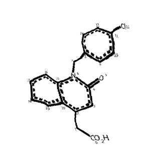 O=C(O)Cc1cc(=O)n(Cc2ccc(Cl)cc2)c2ccccc12